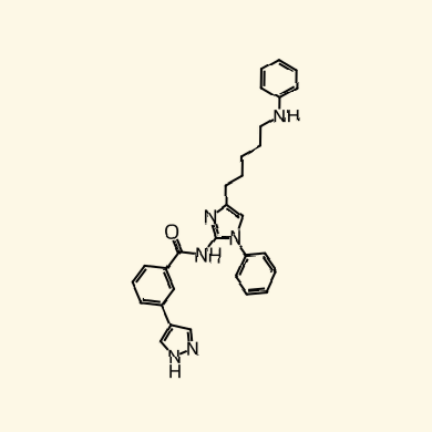 O=C(Nc1nc(CCCCCNc2ccccc2)cn1-c1ccccc1)c1cccc(-c2cn[nH]c2)c1